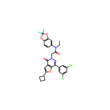 CCN(C(=O)Cn1nc(-c2cc(Cl)cc(Cl)c2)c2oc(C3CCC3)cc2c1=O)c1ccc2c(c1)OC(F)(F)O2